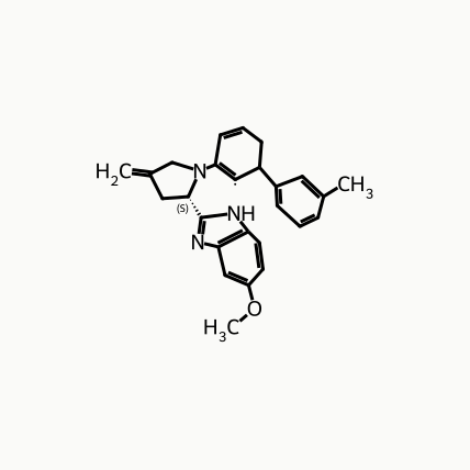 C=C1C[C@@H](c2nc3cc(OC)ccc3[nH]2)N(C2=[C]C(c3cccc(C)c3)CC=C2)C1